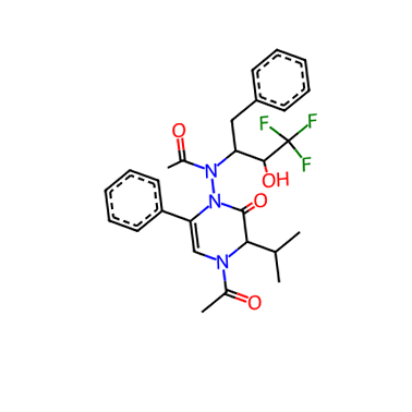 CC(=O)N1C=C(c2ccccc2)N(N(C(C)=O)C(Cc2ccccc2)C(O)C(F)(F)F)C(=O)C1C(C)C